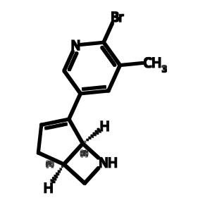 Cc1cc(C2=CC[C@@H]3CN[C@H]23)cnc1Br